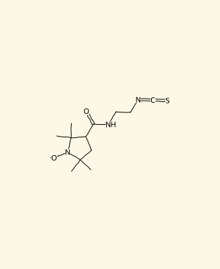 CC1(C)CC(C(=O)NCCN=C=S)C(C)(C)N1[O]